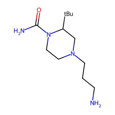 CC(C)(C)C1CN(CCCN)CCN1C(N)=O